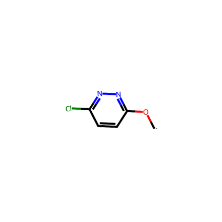 [CH2]Oc1ccc(Cl)nn1